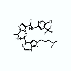 CC(NC(=O)c1ncnc2nn(CCCN(C)C)cc12)c1ncc(C(=O)Nc2cc(C(F)(F)F)c(Cl)cn2)s1